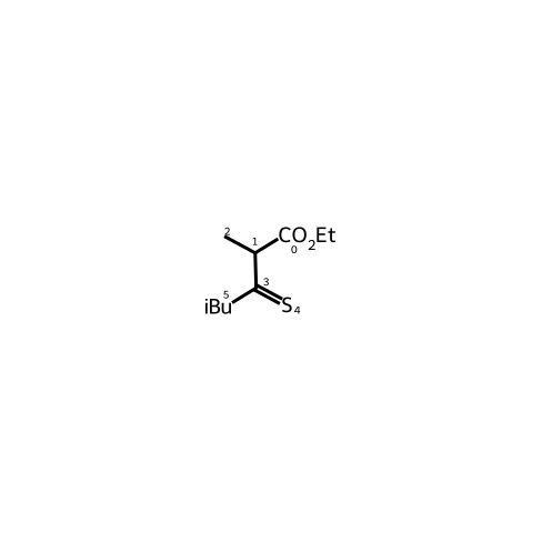 CCOC(=O)C(C)C(=S)C(C)CC